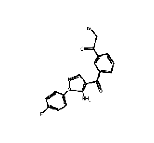 Nc1c(C(=O)c2cccc(C(=O)CBr)c2)cnn1-c1ccc(F)cc1